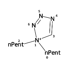 CCCCC[N+]1(CCCCC)C=NN=N1